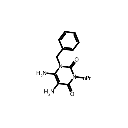 CCCn1c(=O)c(N)c(N)n(Cc2ccccc2)c1=O